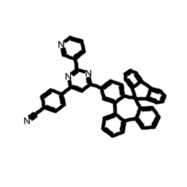 N#Cc1ccc(-c2cc(-c3ccc4c(c3)-c3ccccc3-c3ccccc3C43c4ccccc4-c4ccccc43)nc(-c3cccnc3)n2)cc1